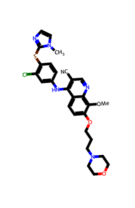 COc1c(OCCCN2CCOCC2)ccc2c(Nc3ccc(Sc4nccn4C)c(Cl)c3)c(C#N)cnc12